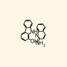 Nc1ccc2ccccc2n1.Oc1cccc2c1[nH]c1ccccc12